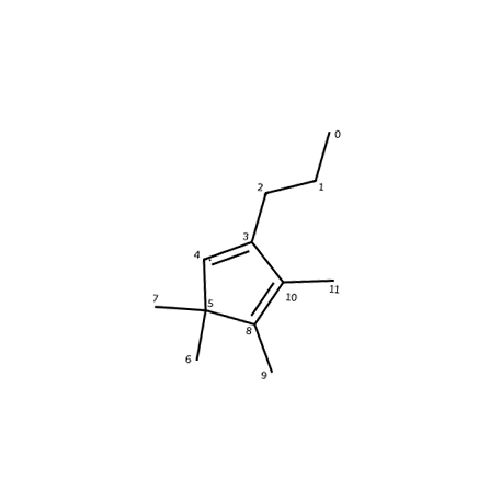 CCCC1=[C]C(C)(C)C(C)=C1C